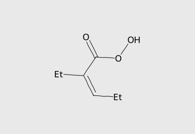 CCC=C(CC)C(=O)OO